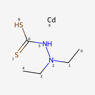 CCN(CC)NC(=S)S.[Cd]